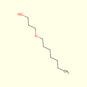 CCCCCCCOCCCO